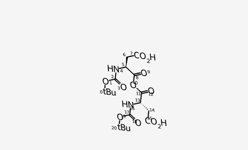 CC(C)(C)OC(=O)N[C@@H](CC(=O)O)C(=O)OC(=O)[C@H](CC(=O)O)NC(=O)OC(C)(C)C